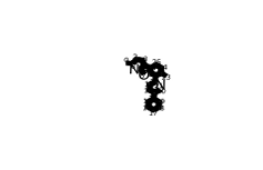 Cc1ccc2c(n1)oc1c(-c3ccc(-c4ccccc4)cn3)c(C)ccc12